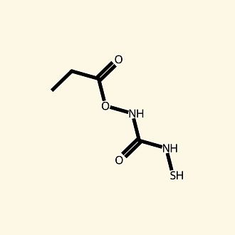 CCC(=O)ONC(=O)NS